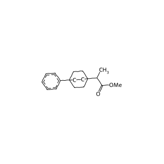 COC(=O)C(C)C12CCC(c3ccccc3)(CC1)CC2